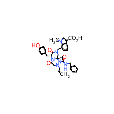 C=CCN1CC(=O)N2[C@@H](Cc3ccc(O)cc3)C(=O)N(Cc3cccc4c(C(=O)O)cn(C)c34)C[C@@H]2N1C(=O)NCc1ccccc1